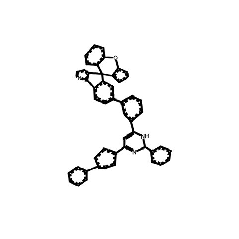 C1=C(c2cccc(-c3ccc4c(c3)C3(c5ccccc5Oc5ccccc53)c3cccnc3-4)c2)NC(c2ccccc2)N=C1c1ccc(-c2ccccc2)cc1